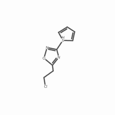 ClCCc1nc([SH]2C=CC=C2)no1